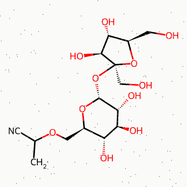 [CH2]C(C#N)OC[C@H]1O[C@H](O[C@]2(CO)O[C@H](CO)[C@@H](O)[C@@H]2O)[C@H](O)[C@@H](O)[C@@H]1O